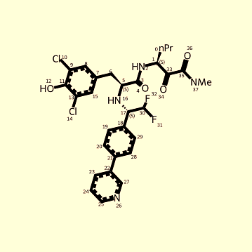 CCC[C@H](NC(=O)[C@H](Cc1cc(Cl)c(O)c(Cl)c1)N[C@@H](c1ccc(-c2cccnc2)cc1)C(F)F)C(=O)C(=O)NC